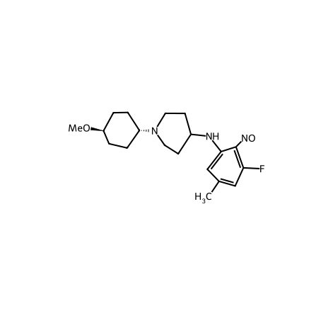 CO[C@H]1CC[C@H](N2CCC(Nc3cc(C)cc(F)c3N=O)CC2)CC1